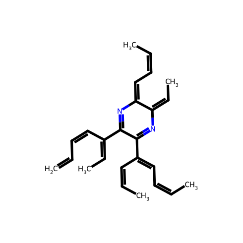 C=C/C=C\C(=C/C)c1nc(=C/C=C\C)/c(=C\C)nc1C(/C=C\C)=C/C=C\C